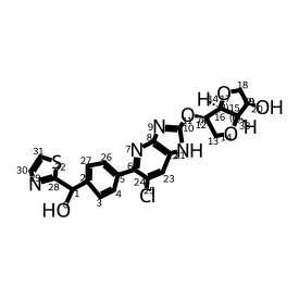 OC(c1ccc(-c2nc3nc(O[C@@H]4CO[C@H]5[C@@H]4OC[C@H]5O)[nH]c3cc2Cl)cc1)c1nccs1